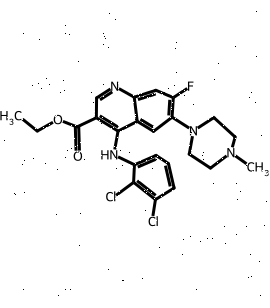 CCOC(=O)c1cnc2cc(F)c(N3CCN(C)CC3)cc2c1Nc1cccc(Cl)c1Cl